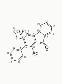 CCOC(=O)Cc1nc2c(c(C(C)=O)c1-c1ccccc1)C(=O)c1ccccc1-2